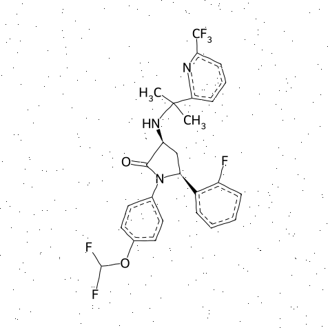 CC(C)(N[C@H]1C[C@@H](c2ccccc2F)N(c2ccc(OC(F)F)cc2)C1=O)c1cccc(C(F)(F)F)n1